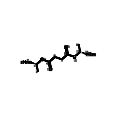 CCCCCC[C@@H](C)OC(=O)CCC(=O)O[C@H](C)CCCCCC